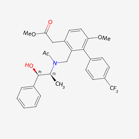 COC(=O)Cc1ccc(OC)c(-c2ccc(C(F)(F)F)cc2)c1CN(C(C)=O)[C@@H](C)[C@H](O)c1ccccc1